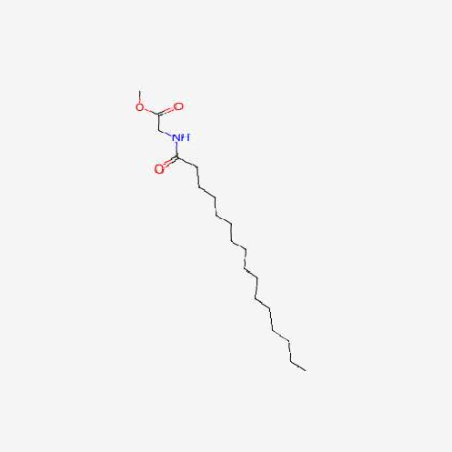 CCCCCCCCCCCCCCCC(=O)NCC(=O)OC